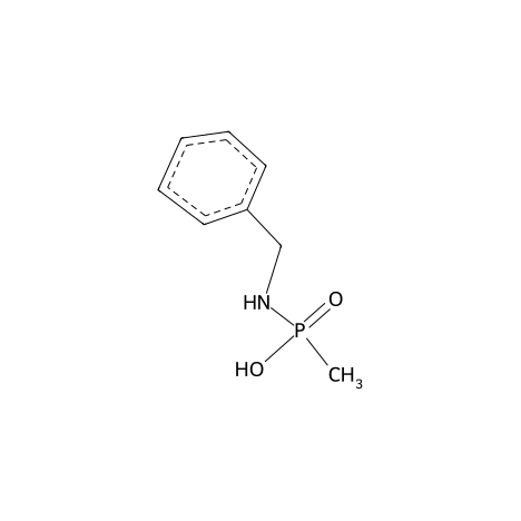 CP(=O)(O)NCc1ccccc1